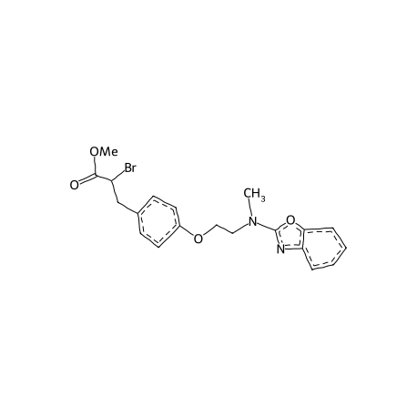 COC(=O)C(Br)Cc1ccc(OCCN(C)c2nc3ccccc3o2)cc1